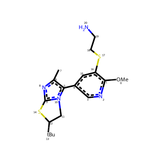 COc1ncc(-c2c(C)nc3n2CC(C(C)(C)C)S3)cc1SCCN